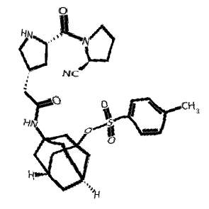 Cc1ccc(S(=O)(=O)OC23C[C@@H]4C[C@@H](CC(NC(=O)C[C@@H]5CN[C@H](C(=O)N6CCC[C@H]6C#N)C5)(C4)C2)C3)cc1